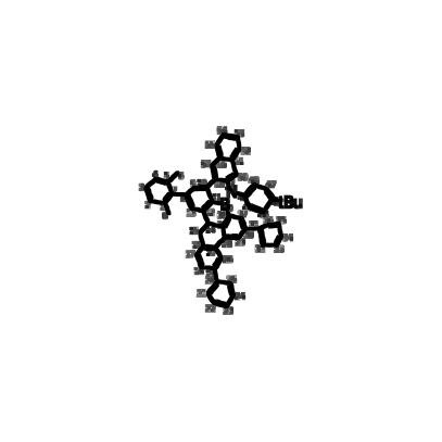 Cc1cccc(C)c1-c1cc2c3c(c1)C1Cc4ccc(-c5ccccc5)cc4-c4cc(-c5ccccc5)cc(c41)B3N(c1ccc(C(C)(C)C)cc1)c1cc3ccccc3cc1-2